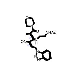 CC(=O)NCCNC(=C(/C)C(=O)N1CCOCC1)/C(=C\Cn1nnc2ccccc21)N=O